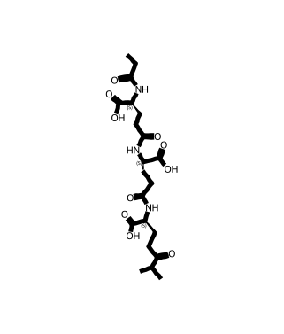 CCC(=O)N[C@@H](CCC(=O)N[C@@H](CCC(=O)N[C@@H](CCC(=O)C(C)C)C(=O)O)C(=O)O)C(=O)O